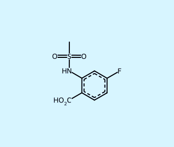 CS(=O)(=O)Nc1cc(F)ccc1C(=O)O